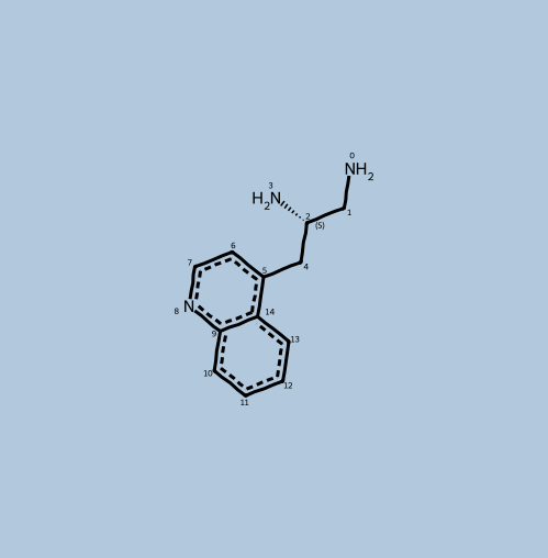 NC[C@@H](N)Cc1ccnc2ccccc12